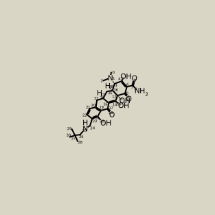 CN(C)[C@@H]1C(O)=C(C(N)=O)C(=O)[C@@]2(O)C(O)=C3C(=O)c4c(ccc(CNCC(C)(C)C)c4O)C[C@H]3C[C@@H]12